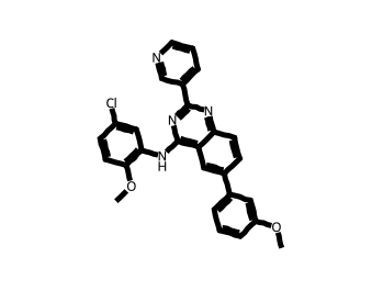 COc1cccc(-c2ccc3nc(-c4cccnc4)nc(Nc4cc(Cl)ccc4OC)c3c2)c1